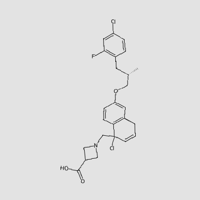 C[C@H](COc1ccc2c(c1)CC=CC2(Cl)CN1CC(C(=O)O)C1)Cc1ccc(Cl)cc1F